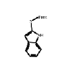 [CH2]C(CCC)Sc1cc2ccccc2[nH]1